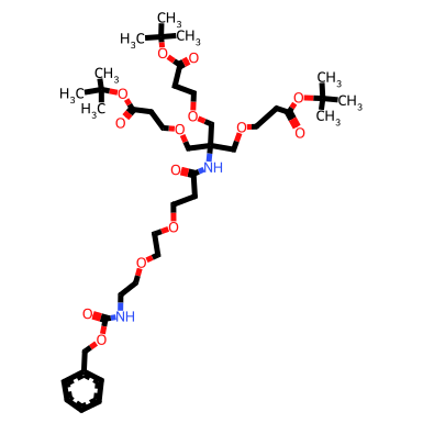 CC(C)(C)OC(=O)CCOCC(COCCC(=O)OC(C)(C)C)(COCCC(=O)OC(C)(C)C)NC(=O)CCOCCOCCNC(=O)OCc1ccccc1